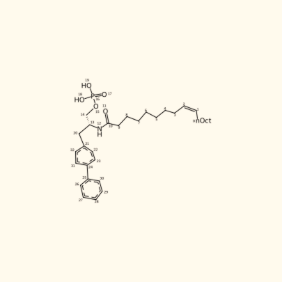 CCCCCCCC/C=C\CCCCCCCC(=O)N[C@@H](COP(=O)(O)O)Cc1ccc(-c2ccccc2)cc1